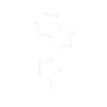 Cn1cc(Br)nc1-c1n[nH]c2ncccc12